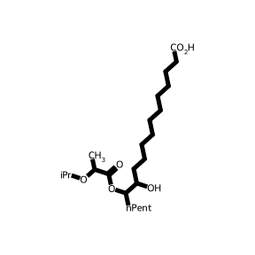 CCCCCC(OC(=O)C(C)OC(C)C)C(O)CCCCCCCCCCC(=O)O